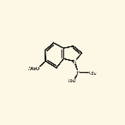 COc1ccc2ccn(P(C(C)(C)C)C(C)(C)C)c2c1